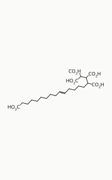 O=C(O)CCCCCCCCC=CCCCCC(C(=O)O)C(C(=O)O)C(C(=O)O)C(=O)O